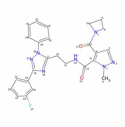 Cn1ncc(C(=O)N2CCC2)c1C(=O)NCCc1nc(-c2cccc(F)c2)nn1-c1ccccc1